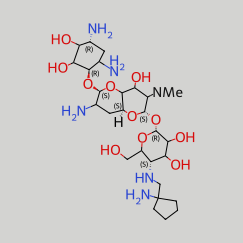 CNC1C(O)C2O[C@H](O[C@@H]3C(N)C[C@@H](N)C(O)C3O)C(N)C[C@@H]2O[C@H]1O[C@H]1OC(CO)[C@@H](NCC2(N)CCCC2)C(O)C1O